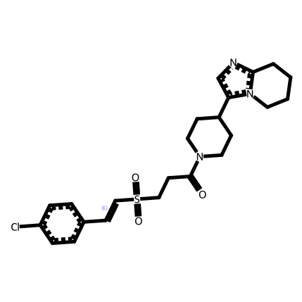 O=C(CCS(=O)(=O)/C=C/c1ccc(Cl)cc1)N1CCC(c2cnc3n2CCCC3)CC1